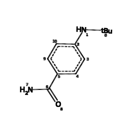 CC(C)(C)Nc1ccc(C(N)=O)cc1